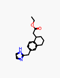 CCOC(=O)CC1CCCc2cc(Cc3ncc[nH]3)ccc21